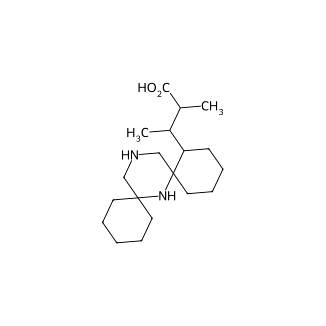 CC(C(=O)O)C(C)C1CCCCC12CNCC1(CCCCC1)N2